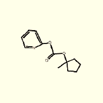 CC1(OC(=O)Oc2ccccn2)CCCC1